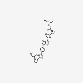 COC(=O)NCC(=O)N1CCC1c1nc(-c2csc3c(-c4ccc(-c5cnc(C6CCCN6C(=O)CN(C)C)[nH]5)cc4)csc23)c[nH]1